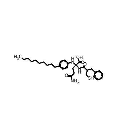 CCCCCCCCCCc1ccc(N[C@@](CCC(N)=O)(NC(=O)C(CS)Cc2ccccc2)C(=O)O)cc1